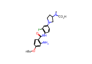 CCCCOc1ccc(C(=O)Nc2ccc(N3CCC(N(C)C(=O)O)C3)cc2F)c(N)c1